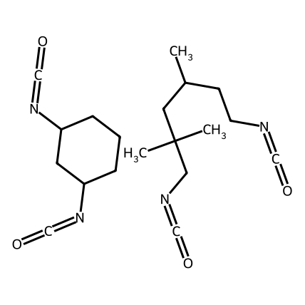 CC(CCN=C=O)CC(C)(C)CN=C=O.O=C=NC1CCCC(N=C=O)C1